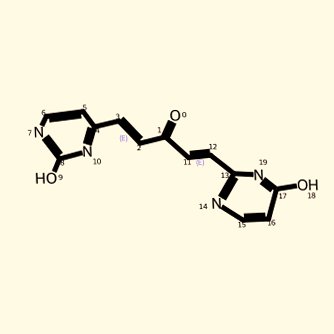 O=C(/C=C/c1ccnc(O)n1)/C=C/c1nccc(O)n1